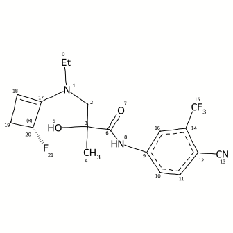 CCN(CC(C)(O)C(=O)Nc1ccc(C#N)c(C(F)(F)F)c1)C1=CC[C@H]1F